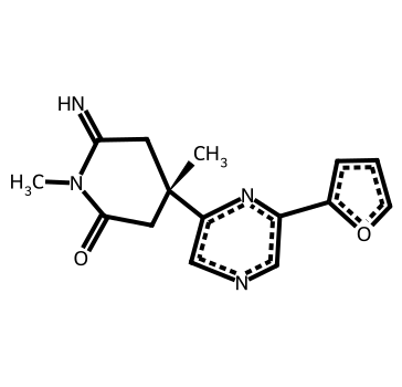 CN1C(=N)C[C@](C)(c2cncc(-c3ccco3)n2)CC1=O